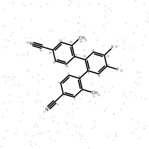 Cc1cc(C#N)ccc1-c1cc(F)c(F)cc1-c1ccc(C#N)cc1C